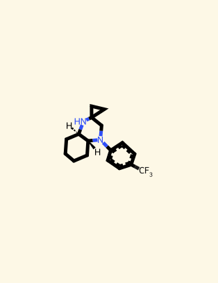 FC(F)(F)c1ccc(N2CC3(CC3)N[C@@H]3CCCC[C@H]32)cc1